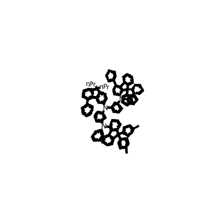 CCCC1(CCC)c2ccc(N(c3cccc(N(c4ccccc4)c4cccc5c4-c4ccccc4C5(c4ccc(C)cc4)c4ccc(C)cc4)c3)c3cccc(N(c4ccccc4)c4ccc(-c5ccccc5)c5c4C4(c6ccccc6-c6ccccc64)c4ccccc4-5)c3)cc2-c2c(-c3ccccc3)cccc21